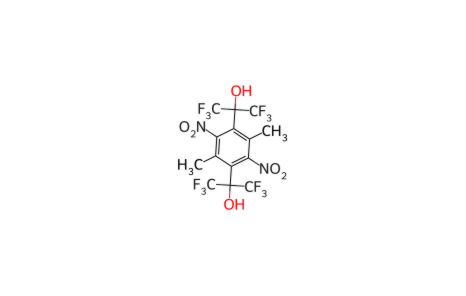 Cc1c([N+](=O)[O-])c(C(O)(C(F)(F)F)C(F)(F)F)c(C)c([N+](=O)[O-])c1C(O)(C(F)(F)F)C(F)(F)F